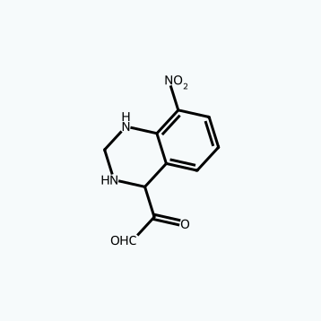 O=CC(=O)C1NCNc2c1cccc2[N+](=O)[O-]